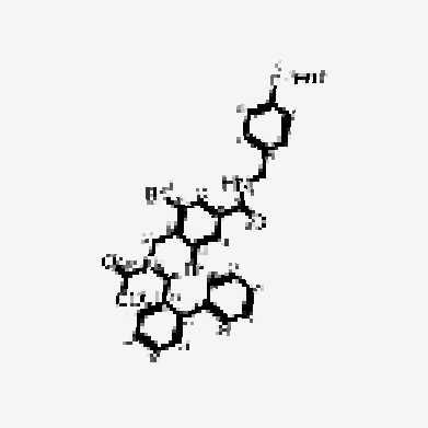 CCCCCc1ccc(CNC(=O)c2cc(Br)c(CN(Cc3ccccc3-c3ccccc3)C(=O)C(=O)O)c(Br)c2)cc1